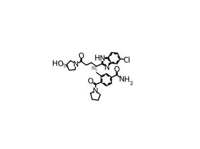 NC(=O)c1ccc(C(=O)N2CCCC2)c(C[C@H](CCC(=O)N2CC[C@H](O)C2)c2nc3cc(Cl)ccc3[nH]2)c1